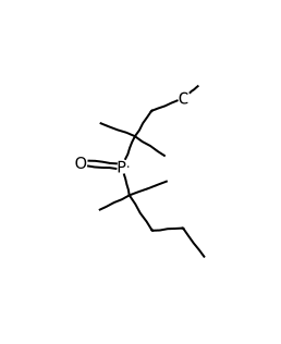 CCCC(C)(C)[P](=O)C(C)(C)CCC